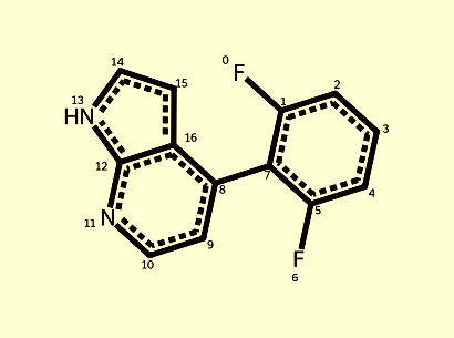 Fc1cccc(F)c1-c1ccnc2[nH]ccc12